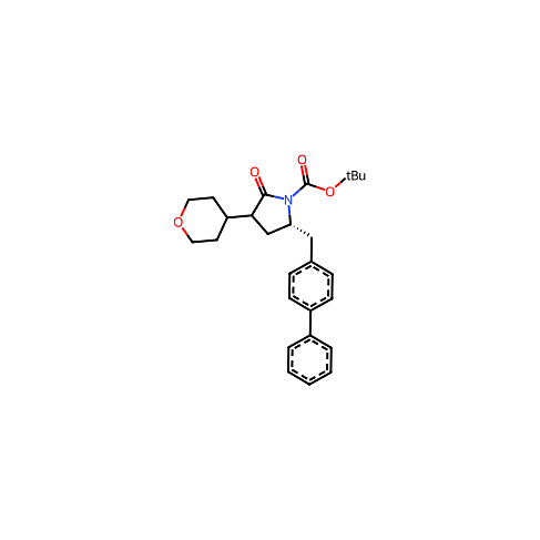 CC(C)(C)OC(=O)N1C(=O)C(C2CCOCC2)C[C@H]1Cc1ccc(-c2ccccc2)cc1